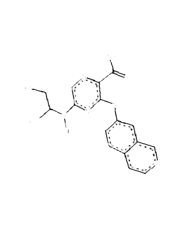 CC(CC=O)N(N)c1cnc(C(N)=O)c(Nc2ccc3ccncc3c2)n1